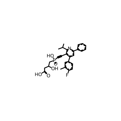 Cc1cc(-c2cc(-c3ccccc3)nc(C(C)C)c2C#CP(=O)(O)CC(O)CC(=O)O)ccc1F